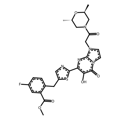 COC(=O)c1cc(F)ccc1Cc1cnc(-c2nc3n(CC(=O)N4C[C@H](C)O[C@@H](C)C4)ccn3c(=O)c2O)s1